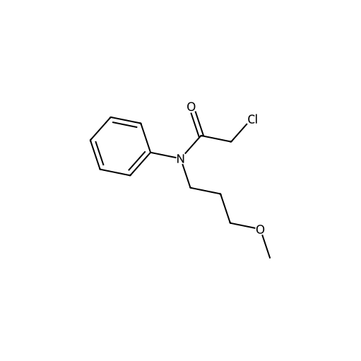 COCCCN(C(=O)CCl)c1ccccc1